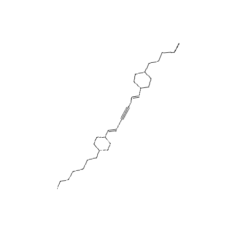 CCCCCCCC1CCC(C=CC#CC=CC2CCC(CCCCC)CC2)CC1